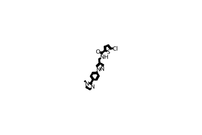 CN1CCN=C1c1ccc(-n2cc(CNC(=O)c3ccc(Cl)s3)cn2)cc1